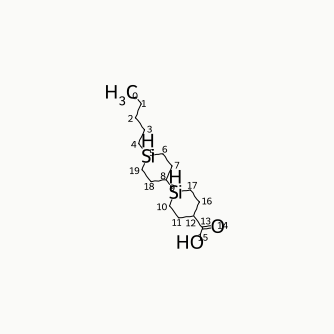 CCCCC[SiH]1CCC([SiH]2CCC(C(=O)O)CC2)CC1